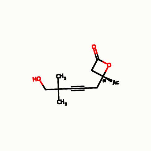 CC(=O)[C@@]1(CC#CC(C)(C)CO)CC(=O)O1